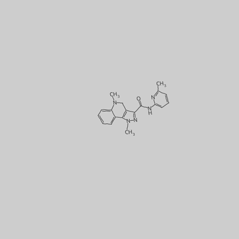 Cc1cccc(NC(=O)c2nn(C)c3c2CN(C)c2ccccc2-3)n1